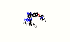 CN1CCCC1COc1ccc2cc(-c3n[nH]c4ccc(-c5nc(CC(C)(C)C)n[nH]5)cc34)ccc2c1